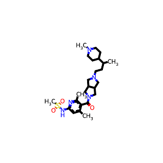 Cc1cc(NS(C)(=O)=O)nc(C)c1C(=O)N1CC2CN(CCC(C)C3CCN(C)CC3)CC2C1